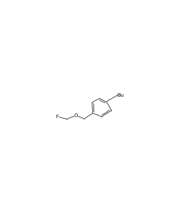 CCC(C)c1ccc(COCF)cc1